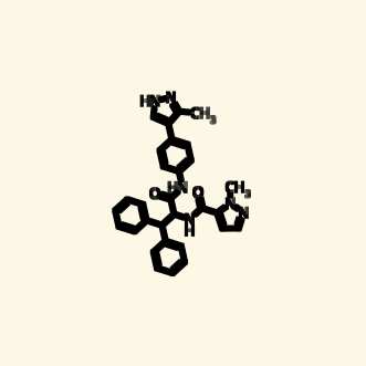 Cc1n[nH]cc1-c1ccc(NC(=O)C(NC(=O)c2ccnn2C)C(c2ccccc2)c2ccccc2)cc1